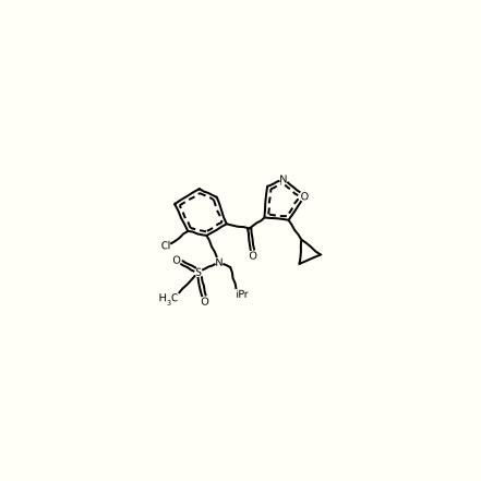 CC(C)CN(c1c(Cl)cccc1C(=O)c1cnoc1C1CC1)S(C)(=O)=O